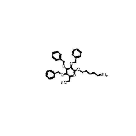 NCCCCCOC1OC(CO)C(OCc2ccccc2)C(OCc2ccccc2)C1OCc1ccccc1